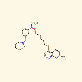 O=C(O)N(OCCCCCSc1ccnc2cc(C(F)(F)F)ccc12)c1cccc(CN2CCCCC2)c1